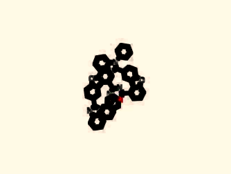 c1ccc(-c2nc(-c3cccc4oc5ccc(-c6nc7ccccc7n6-c6ccccc6)cc5c34)nc(-c3cccc4oc5ccc(-c6nc7ccccc7n6-c6ccccc6)cc5c34)n2)cc1